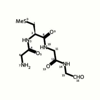 CSC[C@H](NC(=O)CN)C(=O)NCC(=O)NCC=O